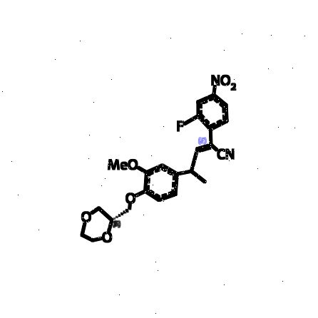 COc1cc(C(C)/C=C(\C#N)c2ccc([N+](=O)[O-])cc2F)ccc1OC[C@H]1COCCO1